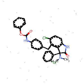 CN(C)C1(c2ccccc2Cl)C(=O)Nc2ccc(Cl)c(Cc3ccc(NC(=O)Oc4ccccc4)cc3)c21